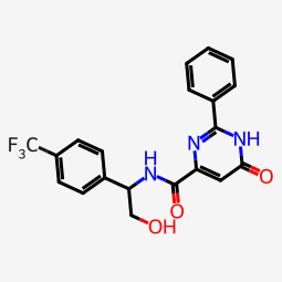 O=C(NC(CO)c1ccc(C(F)(F)F)cc1)c1cc(=O)[nH]c(-c2ccccc2)n1